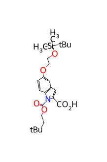 CC(C)(C)CCOC(=O)n1c(C(=O)O)cc2cc(OCCO[Si](C)(C)C(C)(C)C)ccc21